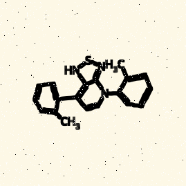 Cc1ccccc1C1=C2NSN=C2N(c2ccccc2C)C=C1